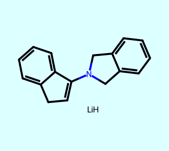 C1=C(N2Cc3ccccc3C2)c2ccccc2C1.[LiH]